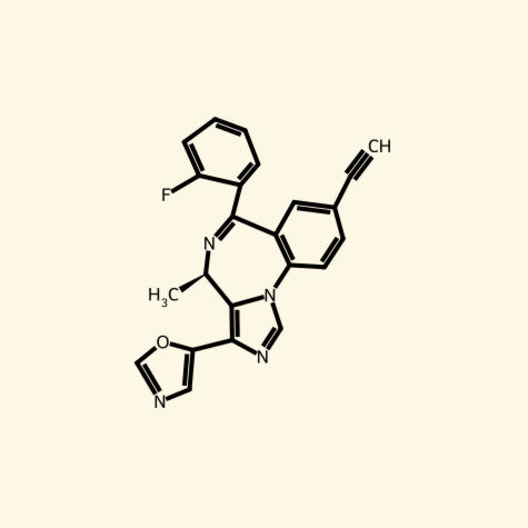 C#Cc1ccc2c(c1)C(c1ccccc1F)=N[C@H](C)c1c(-c3cnco3)ncn1-2